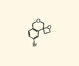 Brc1ccc2c(c1)C1(CCO1)COC2